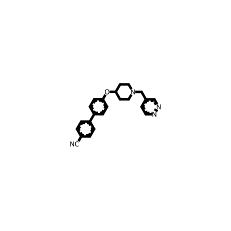 N#Cc1ccc(-c2ccc(OC3CCN(Cc4ccnnc4)CC3)cc2)cc1